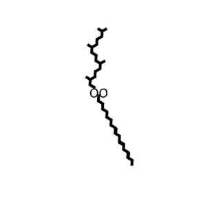 CC/C=C/C/C=C/C/C=C/CCCCCCCC(=O)OCCC(C)CCCC(C)CCCC(C)CCCC(C)C